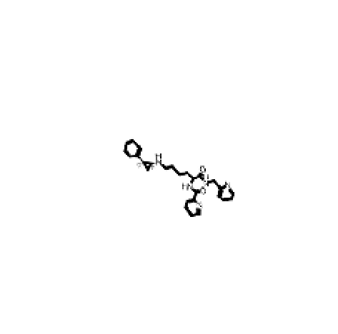 O=C(NC(CCCCN[C@@H]1C[C@H]1c1ccccc1)C(=O)NCc1ccccn1)c1ccccn1